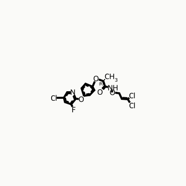 C[C@@H](Oc1ccc(Oc2ncc(Cl)cc2F)cc1)C(=O)NOCC=C(Cl)Cl